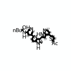 CCCCC(O)Nc1cncc(-c2ccc3[nH]nc(-c4cc5c(-c6ccc(C(C)=O)s6)ccnc5[nH]4)c3n2)c1